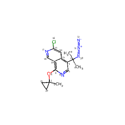 CC1(Oc2ncc(C(C)(C)N=[N+]=[N-])c3cc(Cl)ncc23)CC1